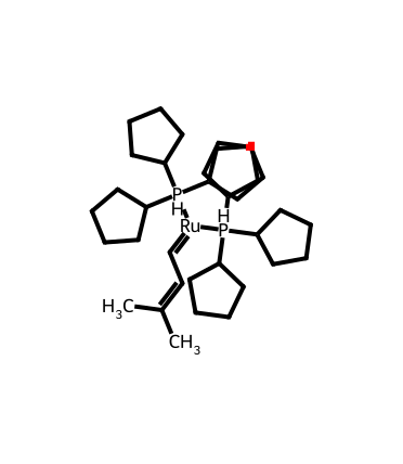 CC(C)=C[CH]=[Ru]([PH](C1CCCC1)(C1CCCC1)C1CCCC1)[PH](C1CCCC1)(C1CCCC1)C1CCCC1